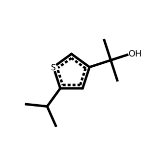 CC(C)c1cc(C(C)(C)O)cs1